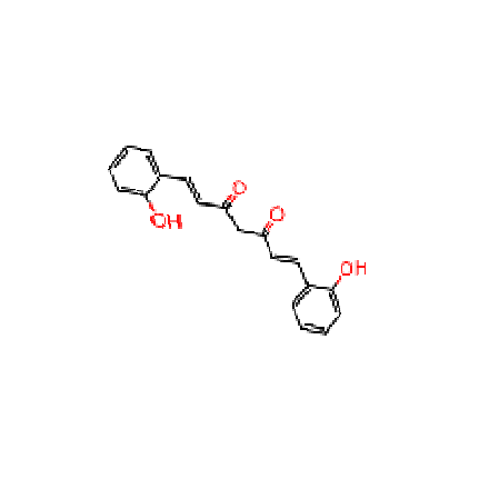 O=C(/C=C/c1ccccc1O)CC(=O)/C=C/c1ccccc1O